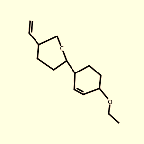 C=CC1CCC(C2C=CC(OCC)CC2)CC1